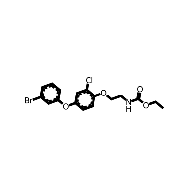 CCOC(=O)NCCOc1ccc(Oc2cccc(Br)c2)cc1Cl